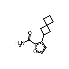 NC(=O)c1occc1C1CC2(CCC2)C1